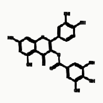 O=C(Oc1c(-c2ccc(O)c(O)c2)oc2cc(O)cc(O)c2c1=O)c1cc(O)c(O)c(O)c1